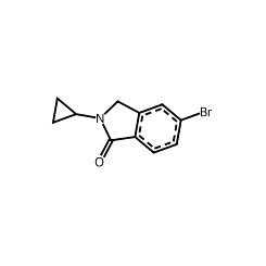 O=C1c2ccc(Br)cc2CN1C1CC1